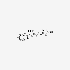 Cl.OC1CCN(CCCOCCc2ccc3occc3c2)C1